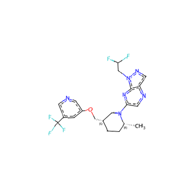 C[C@@H]1CC[C@H](COc2cncc(C(F)(F)F)c2)CN1c1cnc2cnn(CC(F)F)c2n1